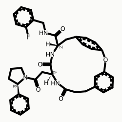 O=C1CCc2cccc(c2)Oc2ccc(cc2)C[C@@H](C(=O)NCc2ccccc2F)NC(=O)[C@H](CC(=O)N2CCC[C@@H]2c2ccccc2)N1